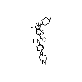 Cc1nn(C2CCC(C)CC2)c2sc(C(=O)Nc3ccc(N4CCN(C)CC4)cc3)cc12